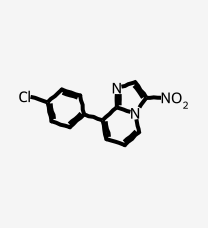 O=[N+]([O-])c1cnc2c(-c3ccc(Cl)cc3)cccn12